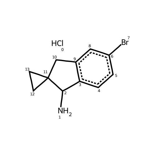 Cl.NC1c2ccc(Br)cc2CC12CC2